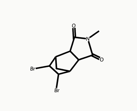 CN1C(=O)C2C3CC(C(Br)C3Br)C2C1=O